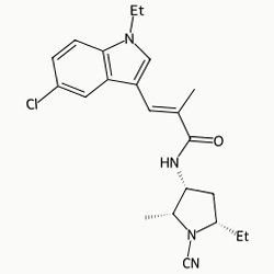 CC[C@H]1C[C@@H](NC(=O)/C(C)=C/c2cn(CC)c3ccc(Cl)cc23)[C@@H](C)N1C#N